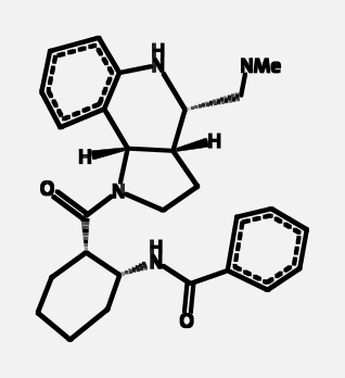 CNC[C@H]1Nc2ccccc2[C@@H]2[C@H]1CCN2C(=O)[C@H]1CCCC[C@H]1NC(=O)c1ccccc1